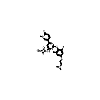 CCCCS(=O)(=O)Nc1cc(-c2ccc(=O)n(C)c2)nc(Oc2c(C)cc(OCCN(C)C)cc2F)n1